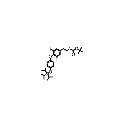 CC(C)[Si](Oc1ccc(Oc2c(I)cc(CCNC(=O)OC(C)(C)C)cc2I)cc1)(C(C)C)C(C)C